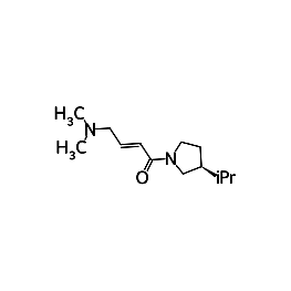 CC(C)[C@@H]1CCN(C(=O)/C=C/CN(C)C)C1